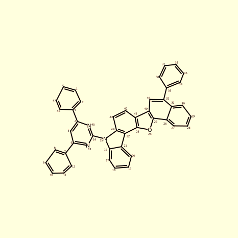 c1ccc(-c2cc(-c3ccccc3)nc(-n3c4ccccc4c4c5oc6c7ccccc7c(-c7ccccc7)cc6c5ccc43)n2)cc1